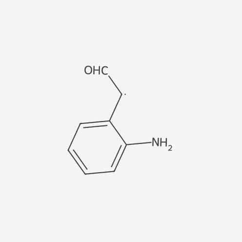 Nc1ccccc1[CH]C=O